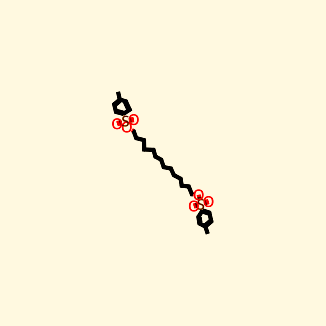 Cc1ccc(S(=O)(=O)OCCCCCCCCCCCCCCOS(=O)(=O)c2ccc(C)cc2)cc1